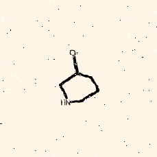 [O]C1CCCNC1